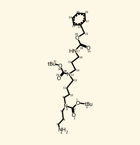 CC(C)(C)OC(=O)N(CCCN)CCCCN(CCCNC(=O)OCc1ccccc1)C(=O)OC(C)(C)C